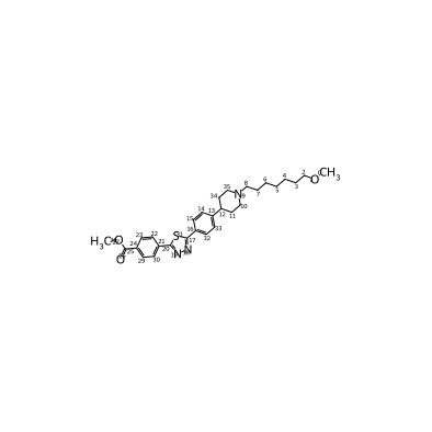 COCCCCCCCN1CCC(c2ccc(-c3nnc(-c4ccc(C(=O)OC)cc4)s3)cc2)CC1